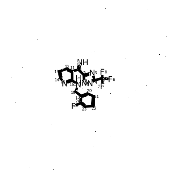 N=C(c1nc(C(F)(F)F)n[nH]1)c1cccnc1NCc1ccccc1F